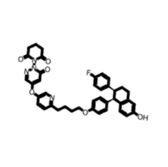 O=C1CCCC(=O)N1n1ncc(Oc2ccc(CCCCOc3ccc([C@@H]4c5ccc(O)cc5CC[C@@H]4c4ccc(F)cc4)cc3)nc2)cc1=O